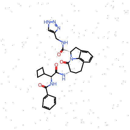 O=C(N[C@H](C(=O)N[C@H]1CCc2cccc3c2N(C1=O)[C@H](C(=O)NCc1c[nH]nn1)C3)C1CCC1)c1ccccc1